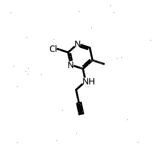 C#CCNc1nc(Cl)ncc1C